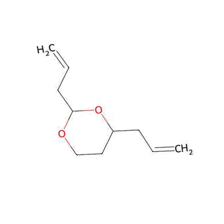 C=CCC1CCOC(CC=C)O1